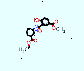 CCOC(=O)C1CCCC(NC(=O)c2cc(C(=O)OC)ccc2O)C1